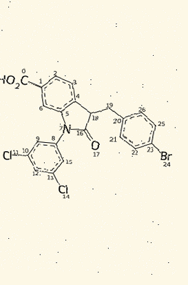 O=C(O)c1ccc2c(c1)N(c1cc(Cl)cc(Cl)c1)C(=O)C2Cc1ccc(Br)cc1